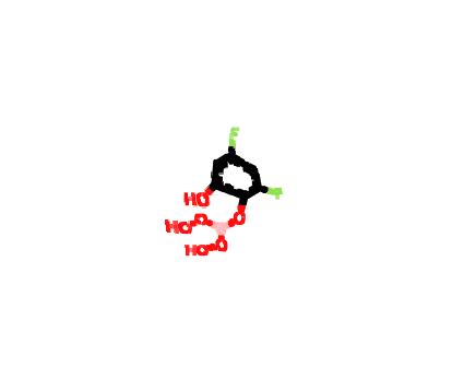 OOB(OO)Oc1c(O)cc(F)cc1F